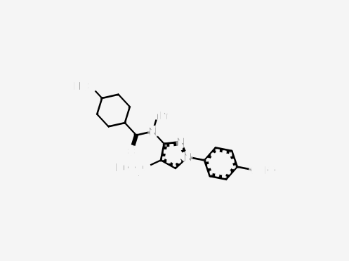 CCOC(=O)c1cn(-c2ccc(C=O)cc2)nc1N(C(=O)C1CCC(C)CC1)C(C)C